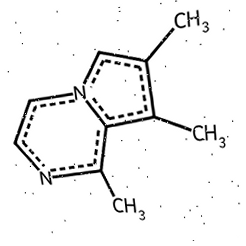 Cc1cn2ccnc(C)c2c1C